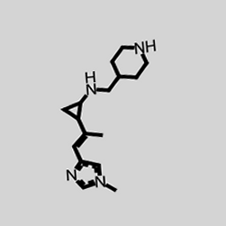 C/C(=C\c1cn(C)cn1)C1CC1NCC1CCNCC1